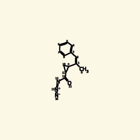 CC(=Cc1ccccc1)C1CC1C(=O)N=[N+]=[N-]